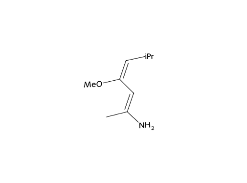 COC(/C=C(\C)N)=C/C(C)C